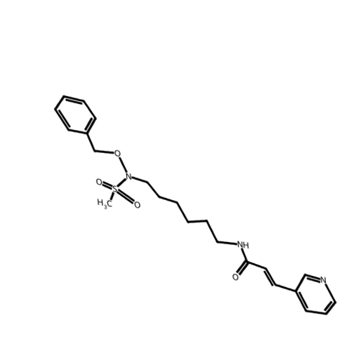 CS(=O)(=O)N(CCCCCCNC(=O)/C=C/c1cccnc1)OCc1ccccc1